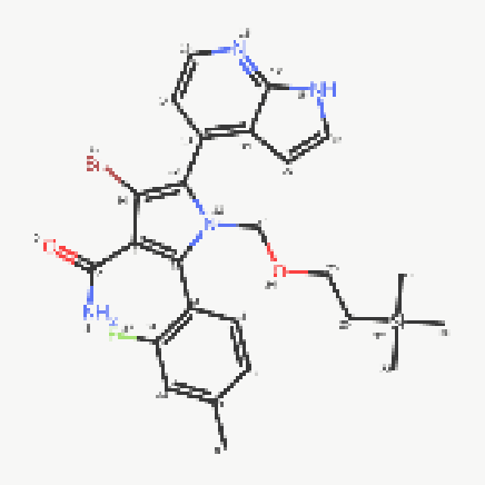 Cc1ccc(-c2c(C(N)=O)c(Br)c(-c3ccnc4[nH]ccc34)n2COCC[Si](C)(C)C)c(F)c1